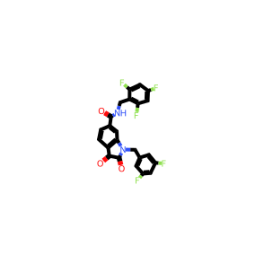 O=C(NCc1c(F)cc(F)cc1F)c1ccc2c(c1)N(Cc1cc(F)cc(F)c1)C(=O)C2=O